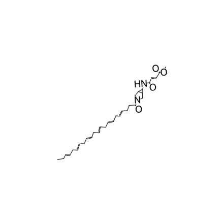 CCC=CCC=CCC=CCC=CCC=CCC=CCCC(=O)N1CC2C(C1)C2NC(=O)C=CC(=O)OC